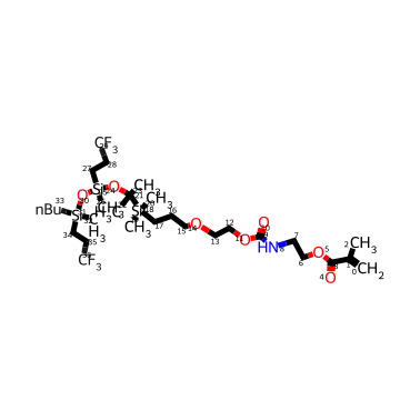 C=C(C)C(=O)OCCNC(=O)OCCOCCC[Si](C)(C)C(C)(C)O[Si](C)(CCC(F)(F)F)O[Si](C)(CCCC)CCC(F)(F)F